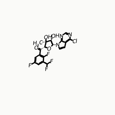 C[C@@]1(O)[C@@H](C(=O)c2cc(F)cc(C(F)F)c2F)O[C@@H](n2ccc3c(Cl)ncnc32)[C@@H]1O